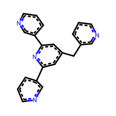 c1cncc(Cc2cc(-c3cccnc3)nc(-c3cccnc3)c2)c1